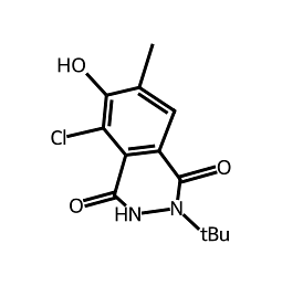 Cc1cc2c(=O)n(C(C)(C)C)[nH]c(=O)c2c(Cl)c1O